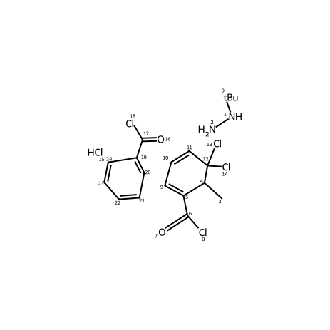 CC(C)(C)NN.CC1C(C(=O)Cl)=CC=CC1(Cl)Cl.Cl.O=C(Cl)c1ccccc1